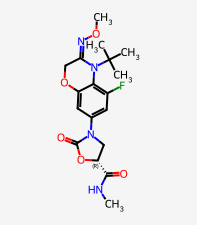 CNC(=O)[C@H]1CN(c2cc(F)c3c(c2)OCC(=NOC)N3C(C)(C)C)C(=O)O1